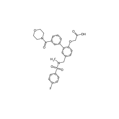 CN(Cc1ccc(OCC(=O)O)c(-c2cccc(C(=O)N3CCOCC3)c2)c1)S(=O)(=O)c1ccc(F)cc1